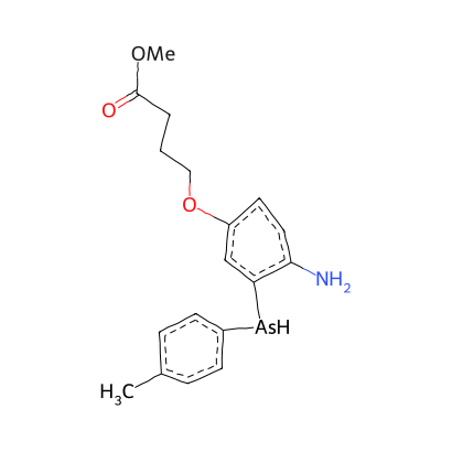 COC(=O)CCCOc1ccc(N)c([AsH]c2ccc(C)cc2)c1